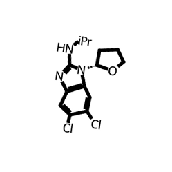 CC(C)Nc1nc2cc(Cl)c(Cl)cc2n1[C@@H]1CCCO1